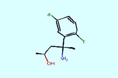 C[C@H](O)C[C@@](C)(N)c1cc(Br)ccc1F